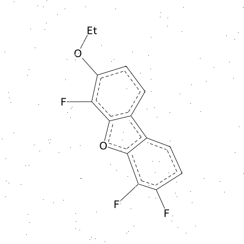 CCOc1ccc2c(oc3c(F)c(F)ccc32)c1F